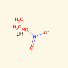 O.O.O=[N+]([O-])O.[LiH]